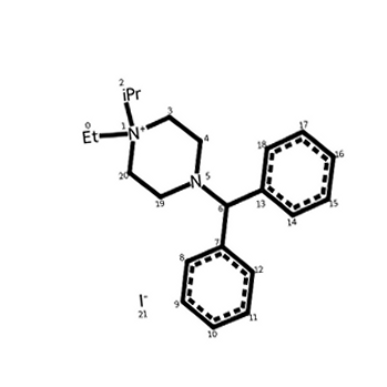 CC[N+]1(C(C)C)CCN(C(c2ccccc2)c2ccccc2)CC1.[I-]